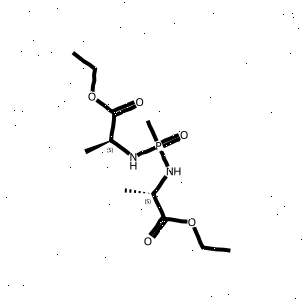 CCOC(=O)[C@H](C)NP(C)(=O)N[C@@H](C)C(=O)OCC